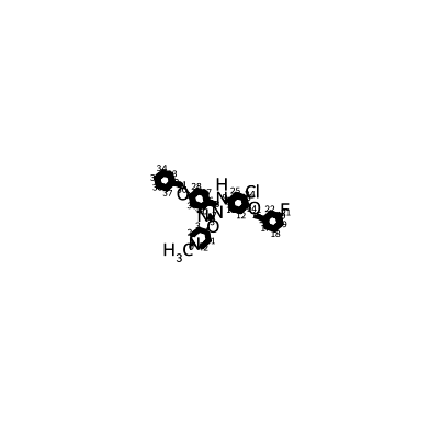 CN1CCC(Oc2nc(Nc3ccc(OCc4cccc(F)c4)c(Cl)c3)c3ccc(OCc4ccccc4)cc3n2)CC1